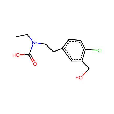 CCN(CCc1ccc(Cl)c(CO)c1)C(=O)O